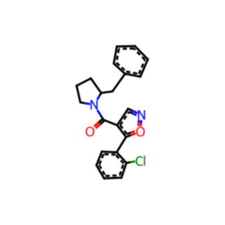 O=C(c1cnoc1-c1ccccc1Cl)N1CCCC1Cc1ccccc1